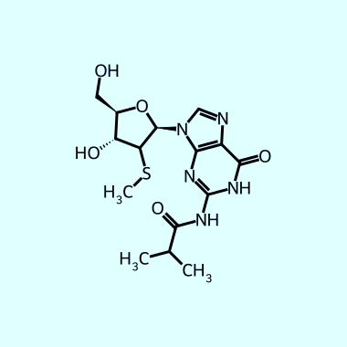 CSC1[C@H](n2cnc3c(=O)[nH]c(NC(=O)C(C)C)nc32)O[C@H](CO)[C@H]1O